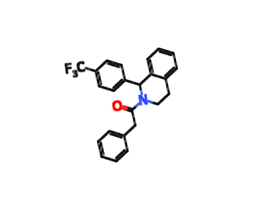 O=C(Cc1ccccc1)N1CCc2ccccc2C1c1ccc(C(F)(F)F)cc1